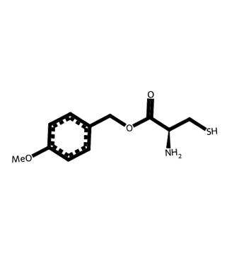 COc1ccc(COC(=O)[C@H](N)CS)cc1